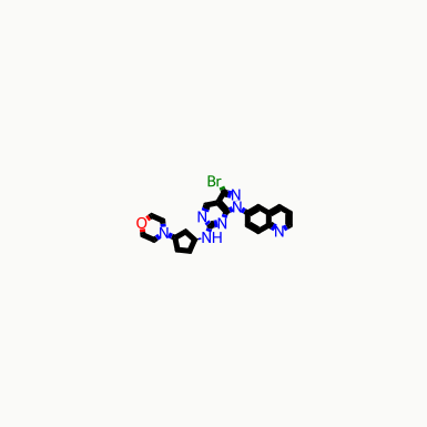 Brc1nn(-c2ccc3ncccc3c2)c2nc(N[C@@H]3CCC(N4CCOCC4)C3)ncc12